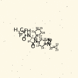 CC(F)(F)C(=O)NC1CC(=O)N(c2ccc3c(cnn3CC3CC3)c2)C1c1ccccc1